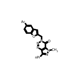 CCCc1nn(C)c2c(=O)n(Cc3cc4cc(C(C)=O)ccc4o3)nnc12